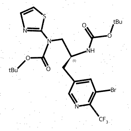 CC(C)(C)OC(=O)N[C@@H](Cc1cnc(C(F)(F)F)c(Br)c1)CN(C(=O)OC(C)(C)C)c1nccs1